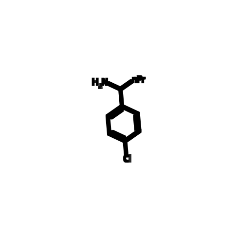 C[CH]CC(N)c1ccc(Cl)cc1